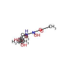 CCCCCCCCCC(=O)OCCCCCCN(CCO)CCCCCCNC(=O)CC[C@@H](C)[C@H]1CC[C@H]2[C@@H]3[C@H](O)[C@H](CC)[C@@H]4C[C@H](O)CC[C@]4(C)[C@H]3CC[C@]12C